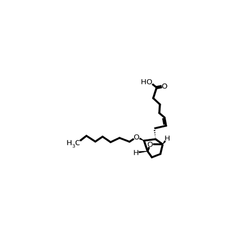 CCCCCCCO[C@H]1[C@H](C/C=C\CCCC(=O)O)[C@@H]2CC[C@H]1O2